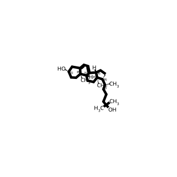 C[C@H](CCCC(C)(C)O)[C@H]1CC[C@H]2C3=CC=C4C[C@@H](O)CC[C@]4(C)[C@H]3CC[C@]12C